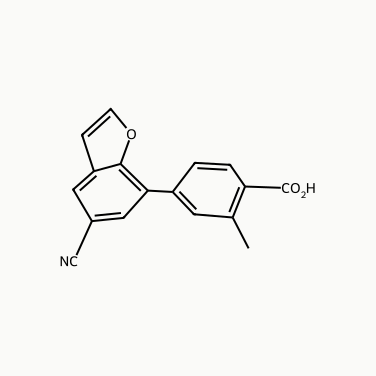 Cc1cc(-c2cc(C#N)cc3ccoc23)ccc1C(=O)O